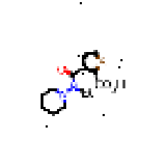 CCN(C(=O)c1ccsc1C(=O)O)N1CCCCC1